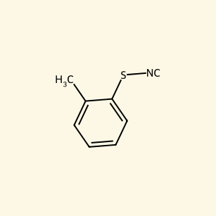 [C-]#[N+]Sc1ccccc1C